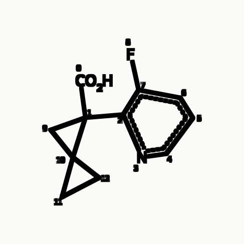 O=C(O)C1(c2ncccc2F)CC12CC2